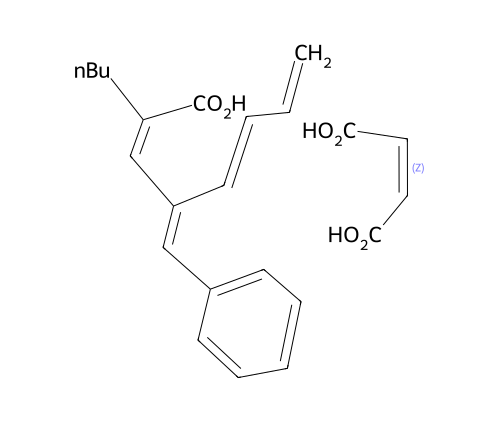 C=CC=CC(=Cc1ccccc1)C=C(CCCC)C(=O)O.O=C(O)/C=C\C(=O)O